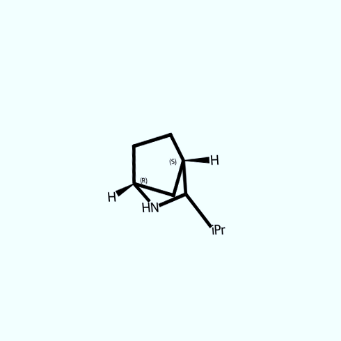 CC(C)C1N[C@@H]2CC[C@H]1C2